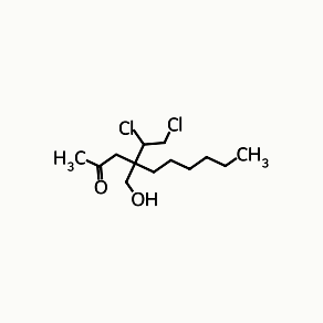 CCCCCCC(CO)(CC(C)=O)C(Cl)CCl